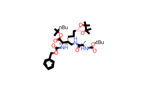 CCCCC(C)(C)OC(=O)[C@@H](NC(=O)OCc1ccccc1)[C@H](CCCB1OC(C)(C)C(C)(C)O1)CNC(=O)[C@H](C)NC(=O)OC(C)(C)C